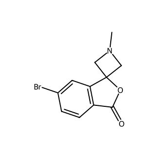 CN1CC2(C1)OC(=O)c1ccc(Br)cc12